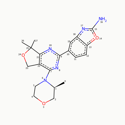 C[C@H]1COCCN1c1nc(-c2ccc3oc(N)nc3c2)nc2c1COC2(C)C